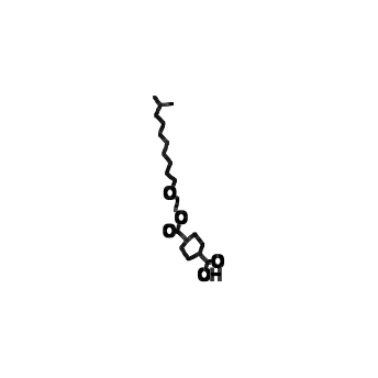 CC(C)CCCCCCCCOCCOC(=O)C1CCC(C(=O)O)CC1